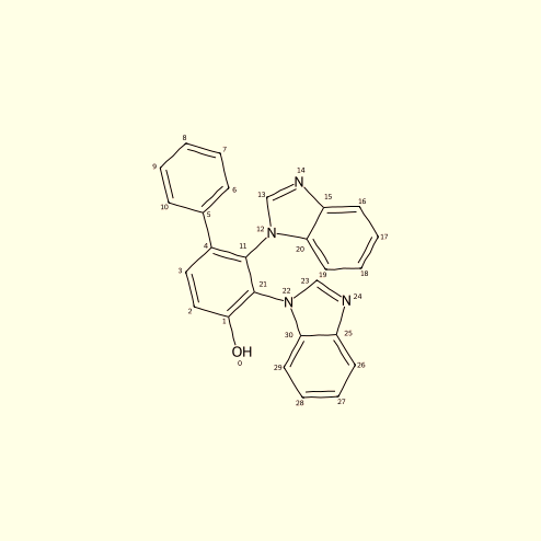 Oc1ccc(-c2ccccc2)c(-n2cnc3ccccc32)c1-n1cnc2ccccc21